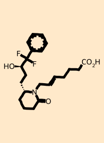 O=C(O)CCC/C=C/CN1C(=O)CCC[C@@H]1CC[C@@H](O)C(F)(F)c1ccccc1